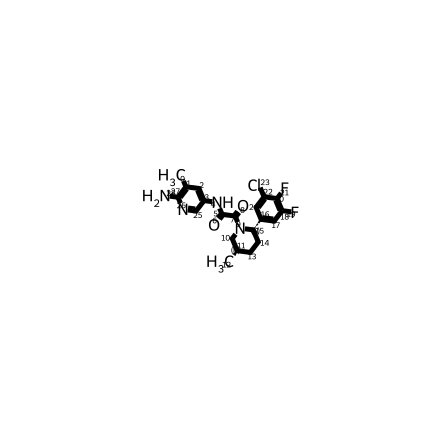 Cc1cc(NC(=O)C(=O)N2C[C@H](C)CC[C@H]2c2cc(F)c(F)c(Cl)c2)cnc1N